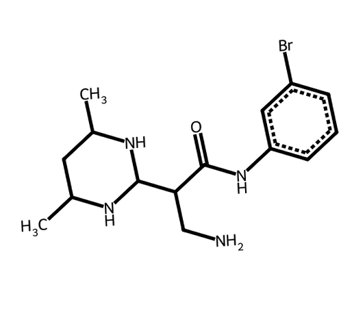 CC1CC(C)NC(C(CN)C(=O)Nc2cccc(Br)c2)N1